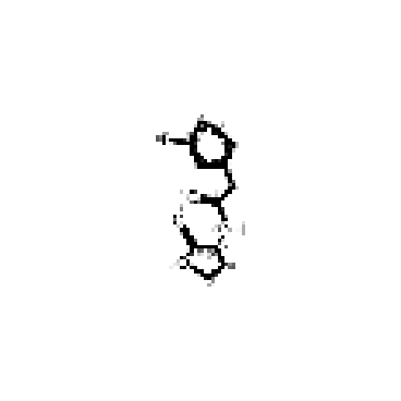 O=C(Cc1cccc(F)c1)N[C@H]1CCOC1=O